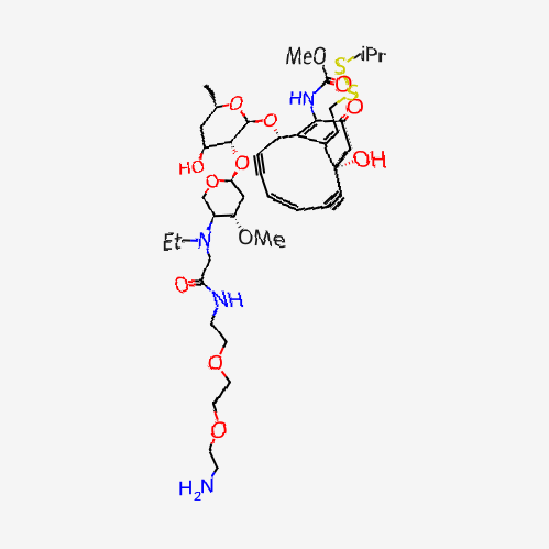 CCN(CC(=O)NCCOCCOCCN)[C@H]1CO[C@@H](O[C@H]2[C@H](O[C@H]3C#C/C=C\C#C[C@]4(O)CC(=O)C(NC(=O)OC)=C3/C4=C\CSSC(C)C)O[C@H](C)C[C@@H]2O)C[C@@H]1OC